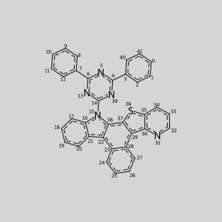 c1ccc(-c2nc(-c3ccccc3)nc(-n3c4ccccc4c4c5ccccc5c5c6ncccc6sc5c43)n2)cc1